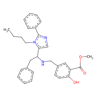 CCCCn1c(C(Cc2ccccc2)NCc2ccc(O)c(C(=O)OC)c2)cnc1-c1ccccc1